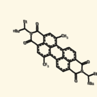 CCCCC(CC)N1C(=O)c2ccc3c4c(C)cc5c6c(cc(C(F)(F)F)c(c7ccc(c2c37)C1=O)c64)C(=O)N(C(CC)CCCC)C5=O